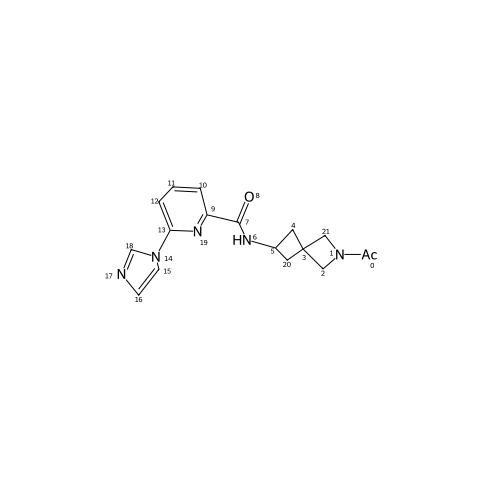 CC(=O)N1CC2(CC(NC(=O)c3cccc(-n4ccnc4)n3)C2)C1